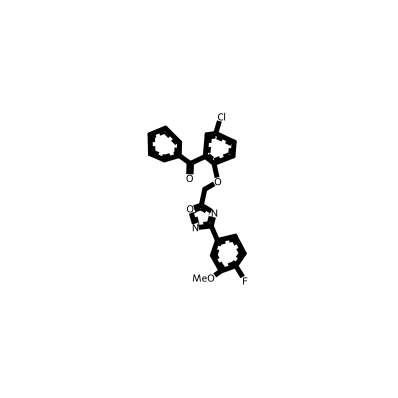 COc1cc(-c2noc(COc3ccc(Cl)cc3C(=O)c3ccccc3)n2)ccc1F